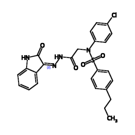 CCCc1ccc(S(=O)(=O)N(CC(=O)N/N=C2\C(=O)Nc3ccccc32)c2ccc(Cl)cc2)cc1